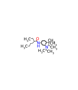 CCCCC(CC)C(=O)Nc1ccc2c(c1)N(C(C)C)C(C)C2(C)C